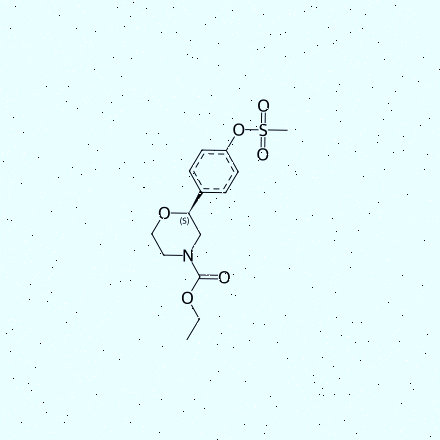 CCOC(=O)N1CCO[C@@H](c2ccc(OS(C)(=O)=O)cc2)C1